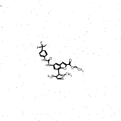 BC1C=NN(C)C1c1cc(NC(=O)Nc2ccc(C(F)(F)F)cc2)cc2cc(C(=O)OCC)oc12